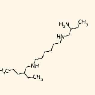 CCCC(CC)CNCCCCCCNCC(N)CC